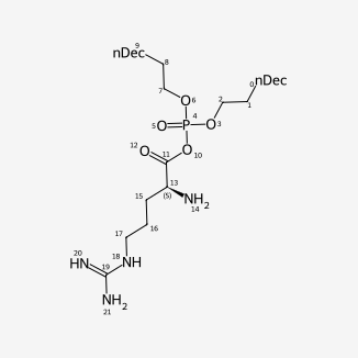 CCCCCCCCCCCCOP(=O)(OCCCCCCCCCCCC)OC(=O)[C@@H](N)CCCNC(=N)N